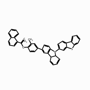 C=C(Oc1ccc(-c2ccc3c(c2)C2C=CC=CC2N3c2ccc3c(c2)sc2ccccc23)cc1C)c1cccc2ccccc12